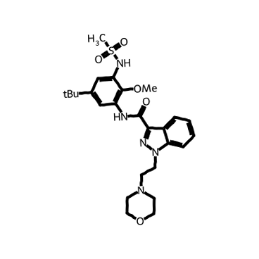 COc1c(NC(=O)c2nn(CCN3CCOCC3)c3ccccc23)cc(C(C)(C)C)cc1NS(C)(=O)=O